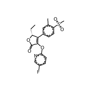 CC[C@H]1OC(=O)C(Oc2ccc(F)cn2)=C1c1ccc(S(C)(=O)=O)c(C)c1